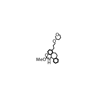 COC(=O)NC1c2ccccc2CCc2c(CCCOC3CCCOC3)cccc21